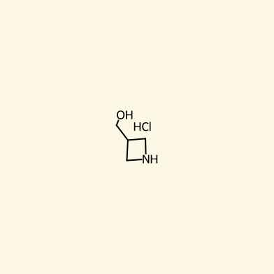 Cl.OCC1CNC1